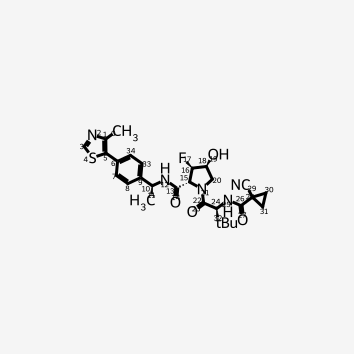 Cc1ncsc1-c1ccc([C@H](C)NC(=O)[C@@H]2[C@@H](F)[C@@H](O)CN2C(=O)[C@@H](NC(=O)C2(C#N)CC2)C(C)(C)C)cc1